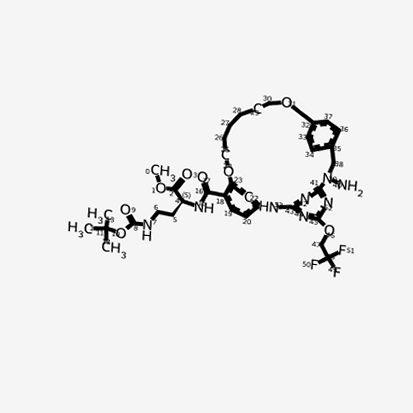 COC(=O)[C@H](CCNC(=O)OC(C)(C)C)NC(=O)c1ccc2cc1OCCCCCCOc1ccc(cc1)CN(N)c1nc(nc(OCC(F)(F)F)n1)N2